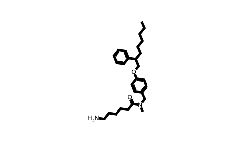 CCCCCCC(COc1ccc(CN(C)C(=O)CCCCCN)cc1)c1ccccc1